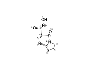 O=C(NO)c1cnc2n(c1=O)CCS2